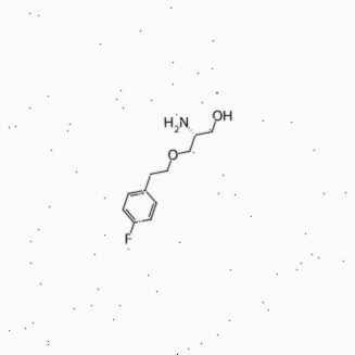 N[C@H](CO)COCCc1ccc(F)cc1